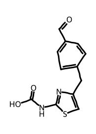 O=Cc1ccc(Cc2csc(NC(=O)O)n2)cc1